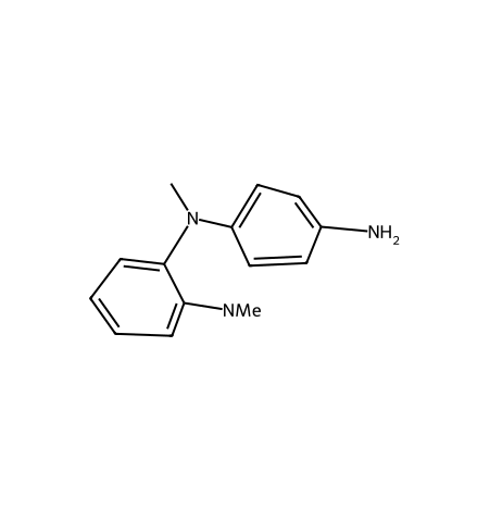 CNc1ccccc1N(C)c1ccc(N)cc1